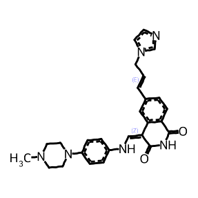 CN1CCN(c2ccc(N/C=C3\C(=O)NC(=O)c4ccc(/C=C/Cn5ccnc5)cc43)cc2)CC1